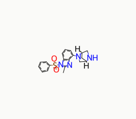 Cc1nc2c(N3C[C@@H]4C[C@H]3CN4)cccc2n1S(=O)(=O)c1ccccc1